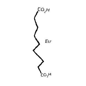 O=C(O)CCCCCCCC(=O)O.[Eu]